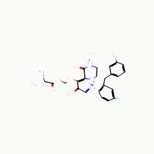 CC(C)[C@H](N)C(=O)OCOc1c2n(ncc1=O)[C@@H](C(c1cccc(F)c1)c1cccc(F)c1)CN(C(C)C)C2=O